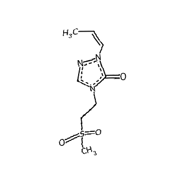 C/C=C\n1ncn(CCS(C)(=O)=O)c1=O